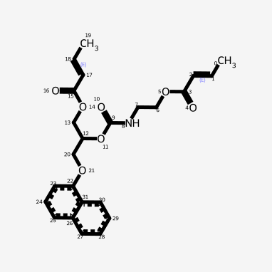 C/C=C/C(=O)OCCNC(=O)OC(COC(=O)/C=C/C)COc1cccc2ccccc12